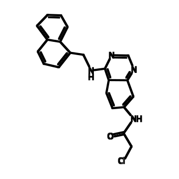 O=C(CCl)Nc1ccc2c(NCc3cccc4ccccc34)ncnc2c1